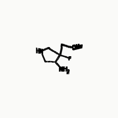 COCC1(F)CNCC1N